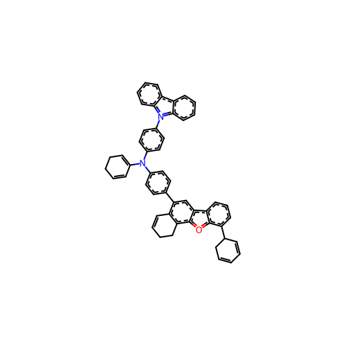 C1=CCC(c2cccc3c2oc2c4c(c(-c5ccc(N(C6=CCCC=C6)c6ccc(-n7c8ccccc8c8ccccc87)cc6)cc5)cc23)C=CCC4)C=C1